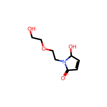 O=C1C=CC(O)N1CCOCCO